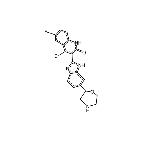 O=c1[nH]c2ccc(F)cc2c(Cl)c1-c1nc2ccc(C3CNCCO3)cc2[nH]1